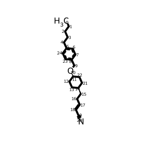 CCCCCc1ccc(CO[C@H]2CC[C@H](CCC=CC#N)CC2)cc1